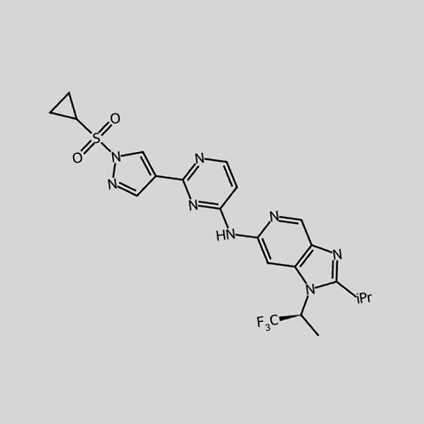 CC(C)c1nc2cnc(Nc3ccnc(-c4cnn(S(=O)(=O)C5CC5)c4)n3)cc2n1[C@@H](C)C(F)(F)F